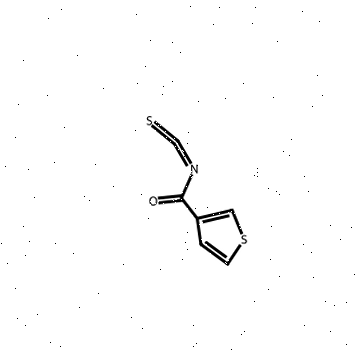 O=C(N=C=S)c1ccsc1